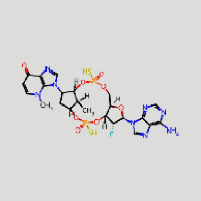 C[C@H]1[C@H]2OP(=O)(S)OC[C@H]3O[C@@H](n4cnc5c(N)ncnc54)[C@H](F)[C@@H]3OP(=O)(S)O[C@H]1C[C@H]2n1cnc2c(=O)ccn(C)c21